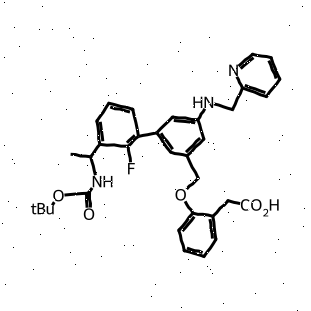 CC(NC(=O)OC(C)(C)C)c1cccc(-c2cc(COc3ccccc3CC(=O)O)cc(NCc3ccccn3)c2)c1F